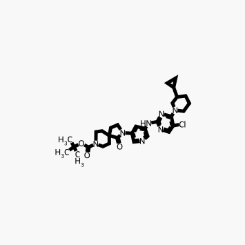 CC(C)(C)OC(=O)N1CCC2(CC1)CCN(c1cncc(Nc3ncc(Cl)c(N4CCCC(C5CC5)C4)n3)c1)C2=O